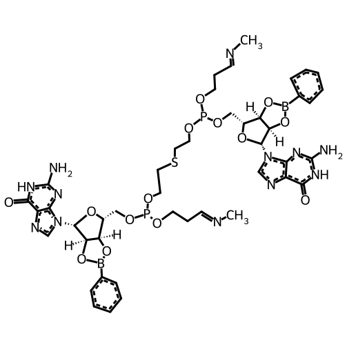 C/N=C/CCOP(OCCSCCOP(OCC/C=N/C)OC[C@H]1O[C@@H](n2cnc3c(=O)[nH]c(N)nc32)[C@@H]2OB(c3ccccc3)O[C@@H]21)OC[C@H]1O[C@@H](n2cnc3c(=O)[nH]c(N)nc32)[C@@H]2OB(c3ccccc3)O[C@@H]21